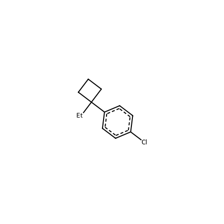 [CH2]CC1(c2ccc(Cl)cc2)CCC1